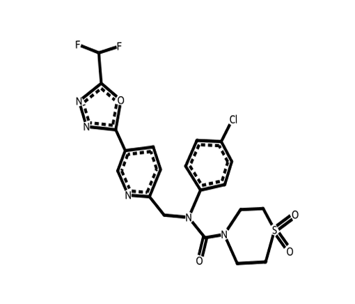 O=C(N1CCS(=O)(=O)CC1)N(Cc1ccc(-c2nnc(C(F)F)o2)cn1)c1ccc(Cl)cc1